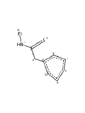 CCNC(=S)Cc1ccccc1